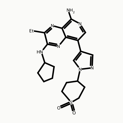 CCc1nc2c(N)ncc(-c3cnn(C4CCS(=O)(=O)CC4)c3)c2nc1NC1CCCC1